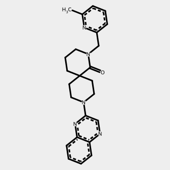 Cc1cccc(CN2CCCC3(CCN(c4cnc5ccccc5n4)CC3)C2=O)n1